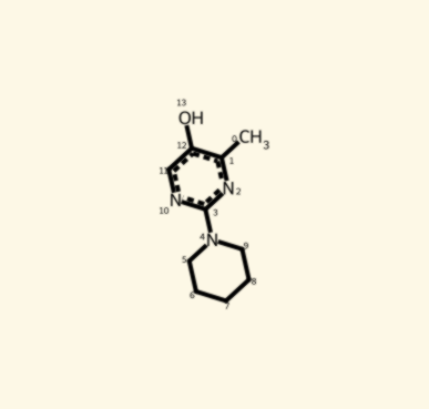 Cc1nc(N2CCCCC2)ncc1O